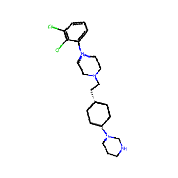 Clc1cccc(N2CCN(CC[C@H]3CC[C@H](N4CCCNC4)CC3)CC2)c1Cl